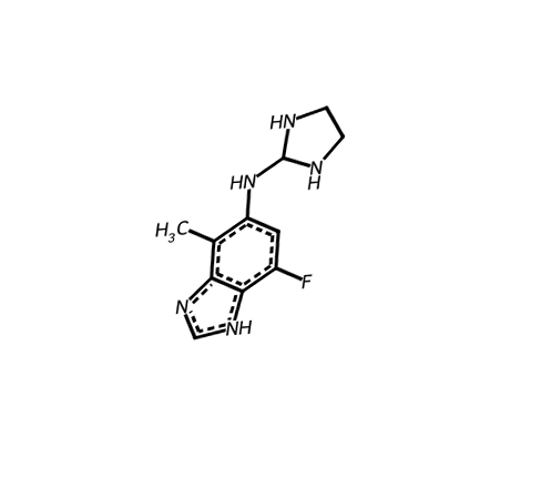 Cc1c(NC2NCCN2)cc(F)c2[nH]cnc12